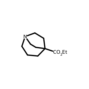 CCOC(=O)C12CCCN(CC1)CC2